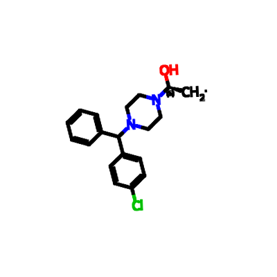 [CH2][C@H](O)N1CCN(C(c2ccccc2)c2ccc(Cl)cc2)CC1